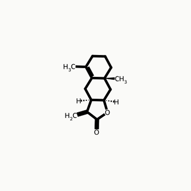 C=C1C(=O)O[C@@H]2C[C@@]3(C)CCCC(C)=C3C[C@H]12